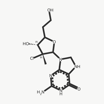 C[C@]1(Cl)C(N2CNc3c2nc(N)[nH]c3=O)OC(CCO)[C@H]1O